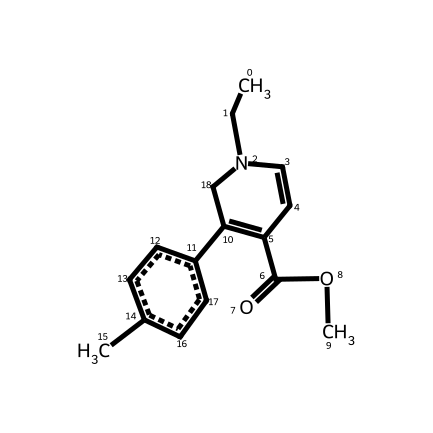 CCN1C=CC(C(=O)OC)=C(c2ccc(C)cc2)C1